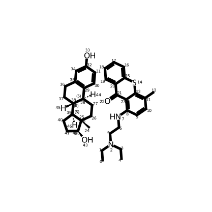 CCN(CC)CCNc1ccc(C)c2sc3ccccc3c(=O)c12.C[C@]12CC[C@@H]3c4ccc(O)cc4CC[C@H]3[C@@H]1CC[C@@H]2O